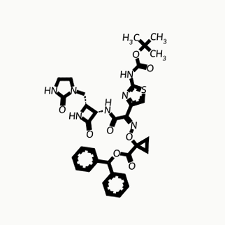 CC(C)(C)OC(=O)Nc1nc(C(=NOC2(C(=O)OC(c3ccccc3)c3ccccc3)CC2)C(=O)N[C@@H]2C(=O)N[C@@H]2CN2CCNC2=O)cs1